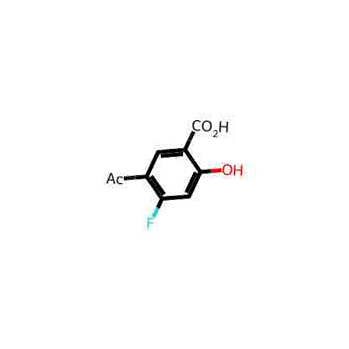 CC(=O)c1cc(C(=O)O)c(O)cc1F